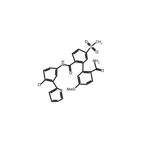 COc1ccc(C(N)=O)c(-c2cc(S(C)(=O)=O)ccc2C(=O)Nc2ccc(Cl)c(-c3ccccn3)c2)c1